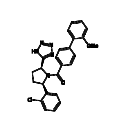 COc1ccccc1-c1ccc(C(=O)N2[C@@H](c3ccccc3Cl)CC[C@H]2c2nnn[nH]2)cc1